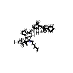 CCCCC/C=C\C1C[C@]1(NC(=O)[C@@H]1CCCN1C(=O)CNC(=O)NC(CN(C)S(=O)(=O)c1ccccc1)C(C)(C)C)C(=O)O